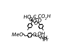 COCCc1ccc(OC[C@H](O)CNC(C)C)cc1.Cc1ccc(C(=O)OC(C(=O)O)[C@@H](OC(=O)c2ccc(C)cc2)C(=O)O)cc1